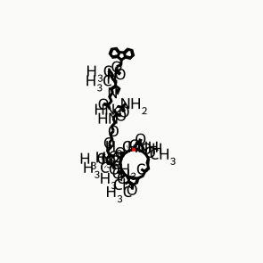 COc1cc2cc(c1Cl)N(C)C(=O)C[C@H](OC(=O)[C@H](C)N(C)C(=O)CCOCCOCCNC(=O)[C@H](CC(N)=O)NC(=O)CCn1ccc(CN(C)N(C)C(=O)OCC3c4ccccc4-c4ccccc43)c1)[C@]1(C)OC1[C@H](C)[C@@H]1C[C@@](O)(NC(=O)O1)[C@H](OC)/C=C/C=C(\C)C2